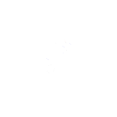 CCC1(N2CCC(c3noc4cc(F)ccc34)CC2)CNC(=O)N1CC(C)C